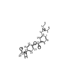 CCN(CC)Cc1cccc(C(=O)Oc2ccc(NC(C)=O)cc2)c1